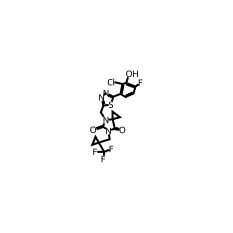 O=C1N(CC2(C(F)(F)F)CC2)C(=O)C2(CC2)N1Cc1nnc(-c2ccc(F)c(O)c2Cl)s1